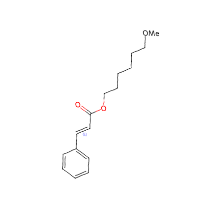 COCCCCCCOC(=O)/C=C/c1ccccc1